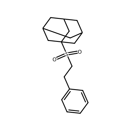 O=S(=O)(CCc1ccccc1)C12CC3CC(CC(C3)C1)C2